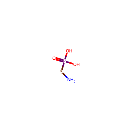 NSP(=O)(O)O